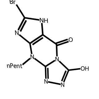 CCCCCn1c2nc(Br)[nH]c2c(=O)n2c(O)nnc12